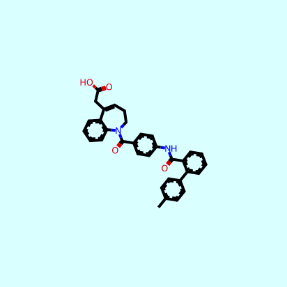 Cc1ccc(-c2ccccc2C(=O)Nc2ccc(C(=O)N3CCC=C(CC(=O)O)c4ccccc43)cc2)cc1